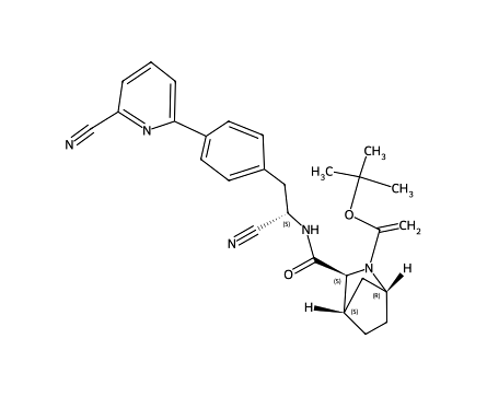 C=C(OC(C)(C)C)N1[C@@H]2CC[C@@H](C2)[C@H]1C(=O)N[C@H](C#N)Cc1ccc(-c2cccc(C#N)n2)cc1